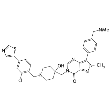 CNCc1ccc(-c2c3ncn(CC4(O)CCN(Cc5ccc(-c6cncs6)cc5Cl)CC4)c(=O)c3nn2C)cc1